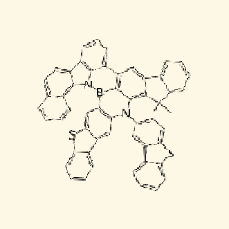 CC1(C)c2ccccc2-c2cc3c4c(c21)N(c1ccc2sc5ccccc5c2c1)c1cc2c(cc1B4n1c4c-3cccc4c3ccc4ccccc4c31)sc1ccccc12